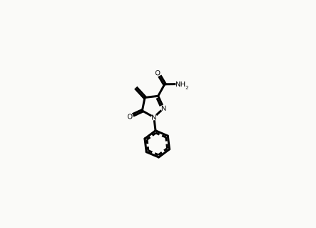 C=C1C(=O)N(c2ccccc2)N=C1C(N)=O